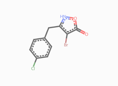 O=c1o[nH]c(Cc2ccc(Cl)cc2)c1Br